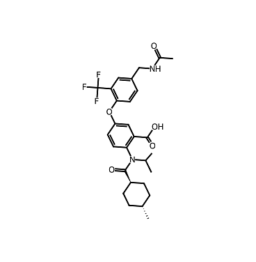 CC(=O)NCc1ccc(Oc2ccc(N(C(=O)[C@H]3CC[C@H](C)CC3)C(C)C)c(C(=O)O)c2)c(C(F)(F)F)c1